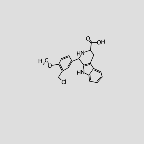 COc1ccc(C2NC(C(=O)O)Cc3c2[nH]c2ccccc32)cc1CCl